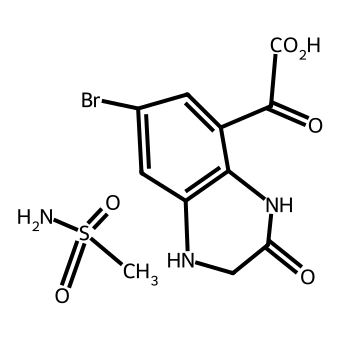 CS(N)(=O)=O.O=C1CNc2cc(Br)cc(C(=O)C(=O)O)c2N1